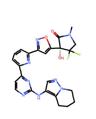 CN1CC(F)(F)[C@@](O)(c2cc(-c3cccc(-c4ccnc(Nc5cnn6c5CCCC6)n4)n3)no2)C1=O